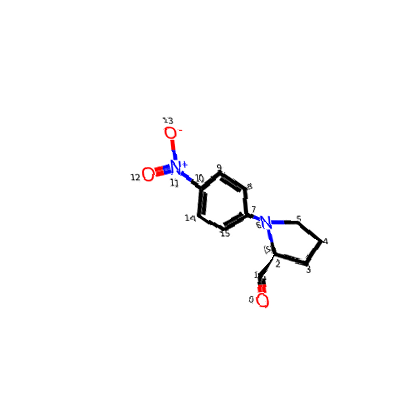 O=[C][C@@H]1CCCN1c1ccc([N+](=O)[O-])cc1